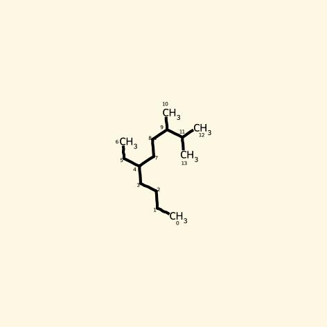 CCCCC(CC)C[CH]C(C)C(C)C